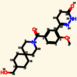 COc1ccc(C(=O)N2CCC3(CCC(CO)CC3)CC2)cc1C1=NNC(=O)CC1